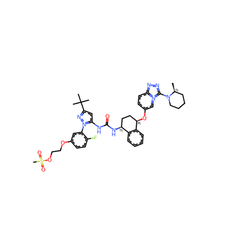 C[C@H]1CCCCN1c1nnc2ccc(O[C@@H]3CC[C@H](NC(=O)Nc4cc(C(C)(C)C)nn4-c4cc(OCCOS(C)(=O)=O)ccc4F)c4ccccc43)cn12